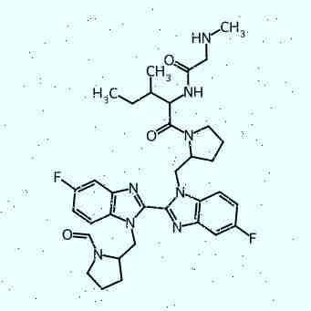 CCC(C)C(NC(=O)CNC)C(=O)N1CCCC1Cn1c(-c2nc3cc(F)ccc3n2CC2CCCN2C=O)nc2cc(F)ccc21